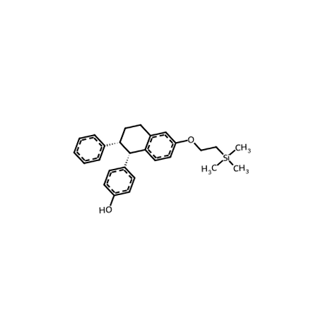 C[Si](C)(C)CCOc1ccc2c(c1)CC[C@@H](c1ccccc1)[C@H]2c1ccc(O)cc1